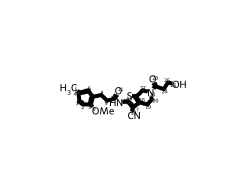 COc1ccc(C)cc1CCC(=O)Nc1sc2c(c1C#N)CCN(C(=O)CCO)C2